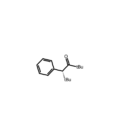 CC(C)(C)C(=O)[C@@H](c1ccccc1)C(C)(C)C